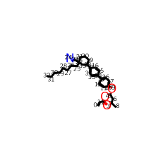 C=CC(=O)OC(CCC)Oc1ccc(-c2ccc(C3CCCC(C#N)(CCCCCCCC)C3)cc2)cc1